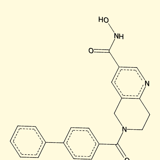 O=C(NO)c1cnc2c(c1)CN(C(=O)c1ccc(-c3ccccc3)cc1)CC2